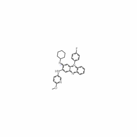 COc1ccc(Nc2cc3nc4ccccc4n(-c4ccc(F)cc4)c-3c/c2=N\C2CCCCC2)cn1